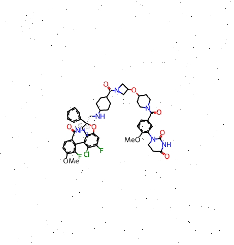 COc1ccc(C(=O)N2CCC(OC3CN(C(=O)C4CCC(NC[C@]5(c6ccccc6)Oc6cc(F)c(Cl)c(-c7c(C(N)=O)ccc(OC)c7F)c6[C@@H]5C)CC4)C3)CC2)cc1N1CCC(=O)NC1=O